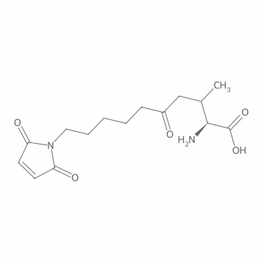 CC(CC(=O)CCCCCN1C(=O)C=CC1=O)[C@H](N)C(=O)O